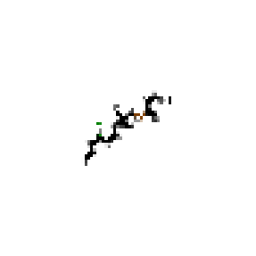 C=C/C=C(F)\C=C/CC(C)(C)CSC(=C)/C=C\CC